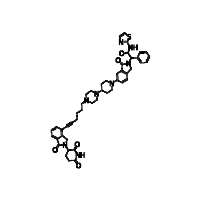 O=C1CCC(N2Cc3c(C#CCCCCN4CCN(C5CCN(c6ccc7c(c6)C(=O)N(C(C(=O)Nc6nccs6)c6ccccc6)C7)CC5)CC4)cccc3C2=O)C(=O)N1